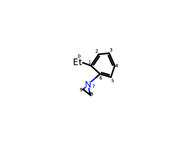 CCc1ccccc1N1CC1